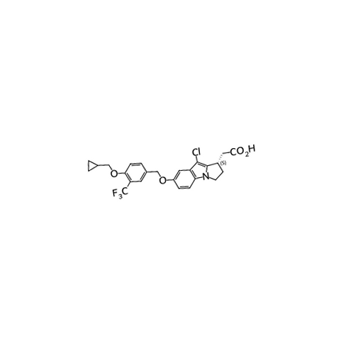 O=C(O)C[C@@H]1CCn2c1c(Cl)c1cc(OCc3ccc(OCC4CC4)c(C(F)(F)F)c3)ccc12